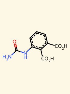 NC(=O)Nc1cccc(C(=O)O)c1C(=O)O